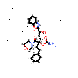 NC(=O)O[C@](CCC(=O)c1nc2ccccc2o1)(CCc1ccccc1)C(=O)N1CCOCC1